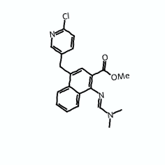 COC(=O)c1cc(Cc2ccc(Cl)nc2)c2ccccc2c1N=CN(C)C